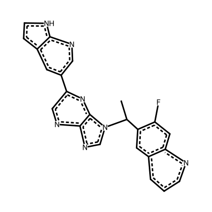 CC(c1cc2cccnc2cc1F)n1cnc2ncc(-c3cnc4[nH]ccc4c3)nc21